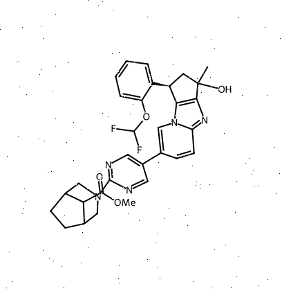 COC(=O)C1C2CCC1CN(c1ncc(-c3ccc4nc5c(n4c3)[C@@H](c3ccccc3OC(F)F)CC5(C)O)cn1)C2